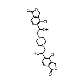 O=C1OCc2c1ccc(C(O)CN1CCN(CC(O)c3ccc4c(c3Cl)COC4=O)CC1)c2Cl